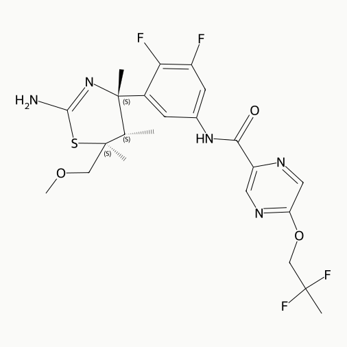 COC[C@@]1(C)SC(N)=N[C@](C)(c2cc(NC(=O)c3cnc(OCC(C)(F)F)cn3)cc(F)c2F)[C@@H]1C